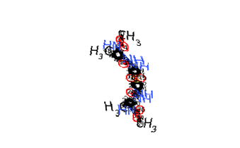 CCOC(=O)Nc1cc(NC(=O)Nc2ccc(S(=O)(=O)c3ccc(NC(=O)Nc4ccc(C)c(NC(=O)OCC)c4)cc3)cc2)ccc1C